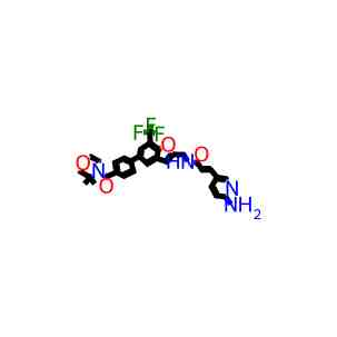 CC1(C)COCCN1C(=O)c1ccc(-c2cc(C(F)(F)F)c3oc(CNC(=O)/C=C/c4ccc(N)nc4)cc3c2)cc1